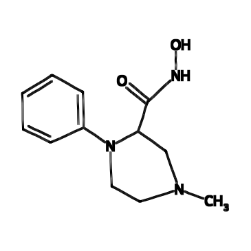 CN1CCN(c2ccccc2)C(C(=O)NO)C1